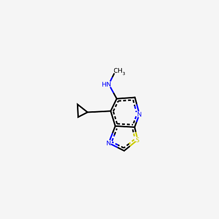 CNc1cnc2scnc2c1C1CC1